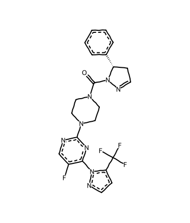 O=C(N1CCN(c2ncc(F)c(-n3nccc3C(F)(F)F)n2)CC1)N1N=CC[C@H]1c1ccccc1